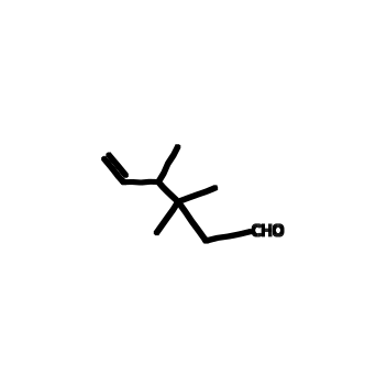 C=CC(C)C(C)(C)CC=O